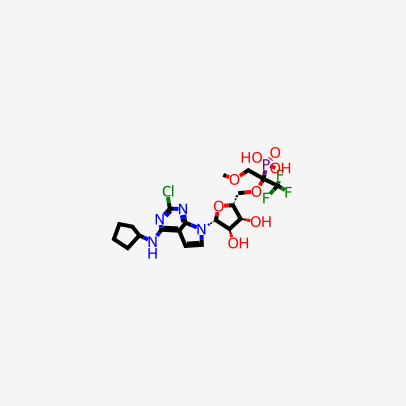 COCC(OC[C@H]1O[C@@H](n2ccc3c(NC4CCCC4)nc(Cl)nc32)[C@H](O)[C@@H]1O)(C(F)(F)F)P(=O)(O)O